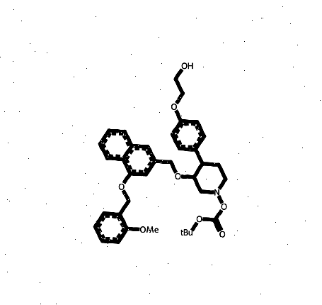 COc1ccccc1COc1cc(COC2CN(OC(=O)OC(C)(C)C)CCC2c2ccc(OCCO)cc2)cc2ccccc12